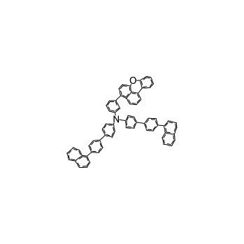 c1cc(-c2ccc3c4c(cccc24)-c2ccccc2O3)cc(N(c2ccc(-c3ccc(-c4cccc5ccccc45)cc3)cc2)c2ccc(-c3ccc(-c4cccc5ccccc45)cc3)cc2)c1